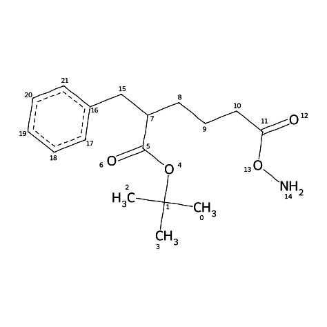 CC(C)(C)OC(=O)C(CCCC(=O)ON)Cc1ccccc1